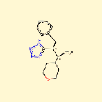 O=C(O)[C@@H](C1CCOCC1)[C@H](Cc1ccccc1)c1nnn[nH]1